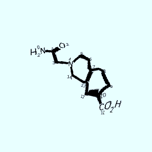 NC(=O)CN1CCc2ccc(C(=O)O)cc2C1